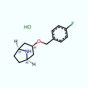 Cl.Fc1ccc(CO[C@H]2C[C@H]3CC[C@@H](C2)N3)cc1